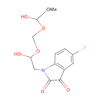 COC(O)OCOC(O)CN1C(=O)C(=O)c2cc(F)ccc21